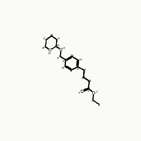 CCOC(=O)CCCc1ccc(COC2CCCCO2)cc1